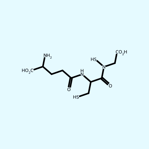 NC(CCC(=O)NC(CS)C(=O)N(S)CC(=O)O)C(=O)O